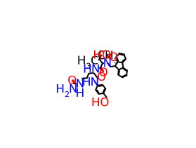 CC(C)C(C(=O)NC(CCCNC(N)=O)C(=O)Nc1ccc(CO)cc1)N(CC1c2ccccc2-c2ccccc21)C(=O)O